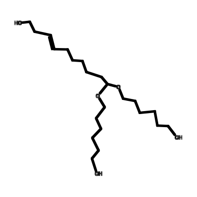 OCC/C=C/CCCCCC(OCCCCCCO)OCCCCCCO